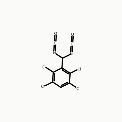 O=C=NC(N=C=O)c1c(Cl)c(Cl)cc(Cl)c1Cl